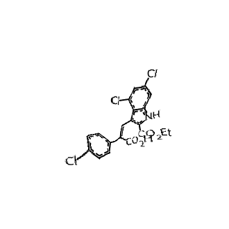 CCOC(=O)c1[nH]c2cc(Cl)cc(Cl)c2c1C=C(C(=O)O)c1ccc(Cl)cc1